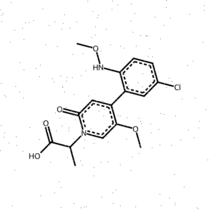 CONc1ccc(Cl)cc1-c1cc(=O)n(C(C)C(=O)O)cc1OC